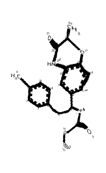 Cc1ccc(CC(NC(=O)OC(C)(C)C)c2ccc3c(c2)NC(=O)C(C)O3)cc1